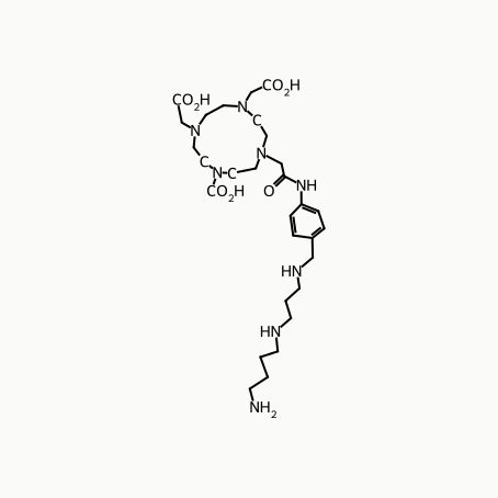 NCCCCNCCCNCc1ccc(NC(=O)CN2CCN(CC(=O)O)CCN(CC(=O)O)CCN(C(=O)O)CC2)cc1